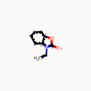 C=Cn1c(=O)oc2ccccc21